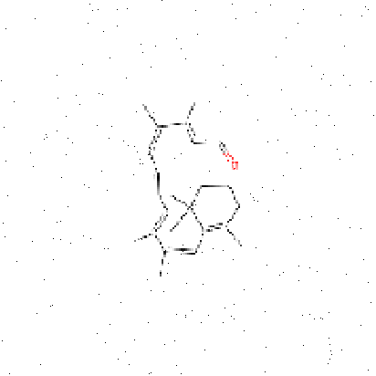 CC(=CC=O)C(C)=CC=CC=C(C)C(C)=CC1=C(C)CCCC1(C)C